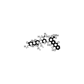 CC[C@@]1(O)C[C@@H](O[C@H]2C[C@H](N(C)C)[C@H](O[C@H]3C[C@@H]4O[C@H]5CC(=O)[C@H](C)O[C@@H]5C[C@@H]4[C@H](C)O3)[C@H](C)O2)c2c(cc3c(c2O)C(=O)c2c(O)cccc2C3=O)C1C(=O)OC